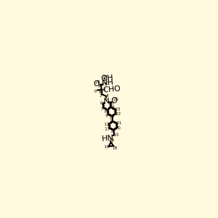 C[C@@](C=O)(CCn1ccc2cc(-c3ccc(CNC4CC4)cc3)ccc2c1=O)C(=O)NO